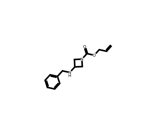 C=CCOC(=O)N1CC(NCc2ccccc2)C1